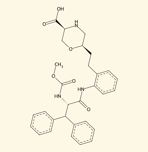 COC(=O)N[C@H](C(=O)Nc1ccccc1CC[C@@H]1CN[C@H](C(=O)O)CO1)C(c1ccccc1)c1ccccc1